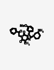 COc1cccc(-n2c(N3CCCC(N)C3)nc3c2c(=O)n(CC(=O)c2ccccc2)c(=O)n3C)c1